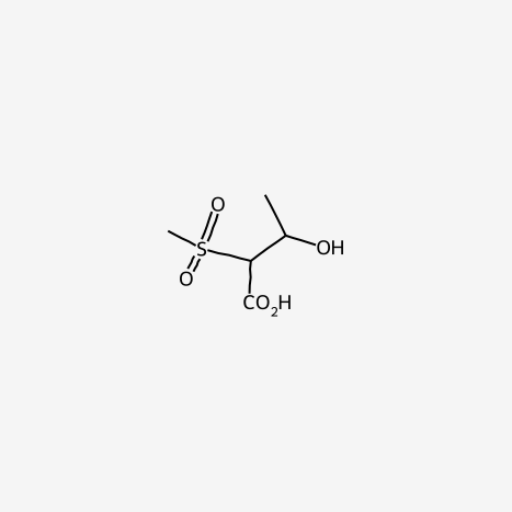 CC(O)C(C(=O)O)S(C)(=O)=O